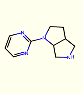 c1cnc(N2CCC3CNCC32)nc1